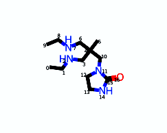 CCNCC(C)(CNCC)CN1CCNC1=O